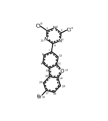 Clc1nc(Cl)nc(-c2ccc3c(c2)oc2ccc(Br)cc23)n1